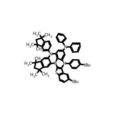 CC(C)(C)c1ccc(N2c3cc(N(c4ccccc4)c4ccccc4)cc4c3B(c3cc5c(cc3N4c3ccc4c(c3)C(C)(C)CC4(C)C)C(C)(C)CC5(C)C)c3sc4ccc(C(C)(C)C)cc4c32)cc1